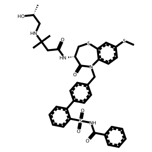 CSc1ccc2c(c1)SC[C@@H](NC(=O)CC(C)(C)NC[C@@H](C)O)C(=O)N2Cc1ccc(-c2ccccc2S(=O)(=O)NC(=O)c2ccccc2)cc1